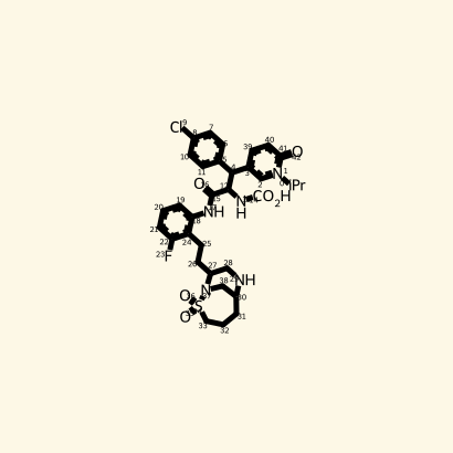 CC(C)n1cc(C(c2ccc(Cl)cc2)C(NC(=O)O)C(=O)Nc2cccc(F)c2CCC2CNC3CCCS(=O)(=O)N2C3)ccc1=O